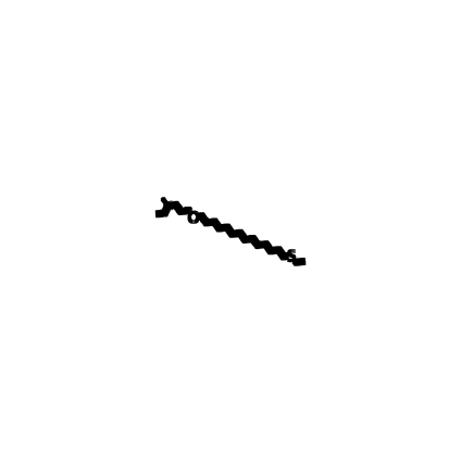 CCSCCCCCCCCCCCCCCOCCC[C@H](C)CC